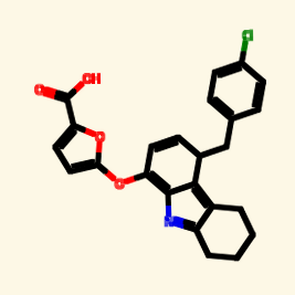 O=C(O)c1ccc(OC2=C3N=C4CCCCC4=C3C(Cc3ccc(Cl)cc3)C=C2)o1